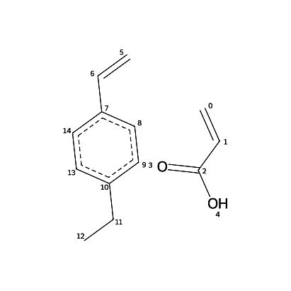 C=CC(=O)O.C=Cc1ccc(CC)cc1